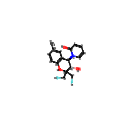 O=c1ccccn1[C@@H]1c2cc(C(F)(F)F)ccc2OC(CF)(CF)[C@H]1O